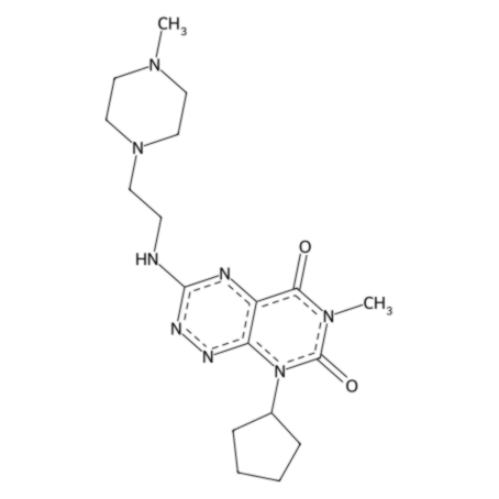 CN1CCN(CCNc2nnc3c(n2)c(=O)n(C)c(=O)n3C2CCCC2)CC1